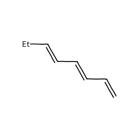 [CH2]CC=CC=CC=C